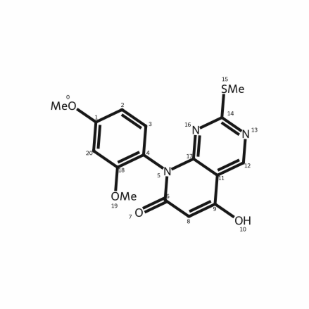 COc1ccc(-n2c(=O)cc(O)c3cnc(SC)nc32)c(OC)c1